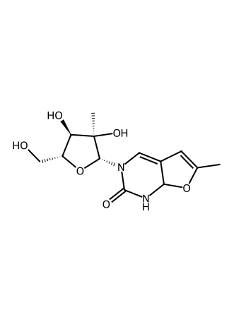 CC1=CC2=CN([C@@H]3O[C@H](CO)[C@@H](O)[C@@]3(C)O)C(=O)NC2O1